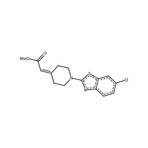 COC(=O)C=C1CCN(c2nc3ccc(Cl)cc3s2)CC1